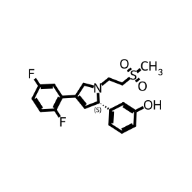 CS(=O)(=O)CCN1CC(c2cc(F)ccc2F)=C[C@H]1c1cccc(O)c1